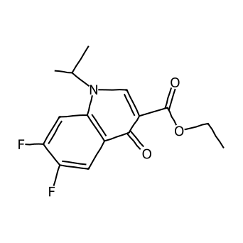 CCOC(=O)c1cn(C(C)C)c2cc(F)c(F)cc2c1=O